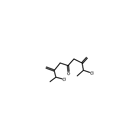 C=C(CC(=O)CC(=C)C(C)Cl)C(C)Cl